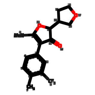 CNC1=C(c2ccc(C)c(C(F)(F)F)c2)C(=O)C(C2CCOC2)O1